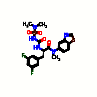 CN(C(=O)[C@H](Cc1cc(F)cc(F)c1)NC(=O)NS(=O)(=O)N(C)C)c1ccc2scnc2c1